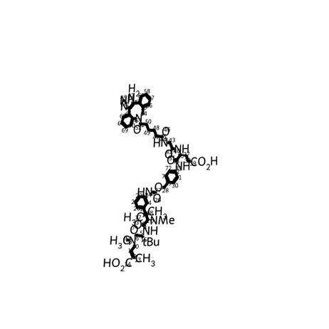 CN[C@H](C(=O)NC(C(=O)N(C)C/C=C(\C)C(=O)O)C(C)(C)C)C(C)(C)c1cccc(NC(=O)OCc2ccc(NC(=O)[C@H](CCC(=O)O)NC(=O)CNC(=O)CCCCC(=O)N3Cc4ccccc4/C(N)=C(/N=N)c4ccccc43)cc2)c1